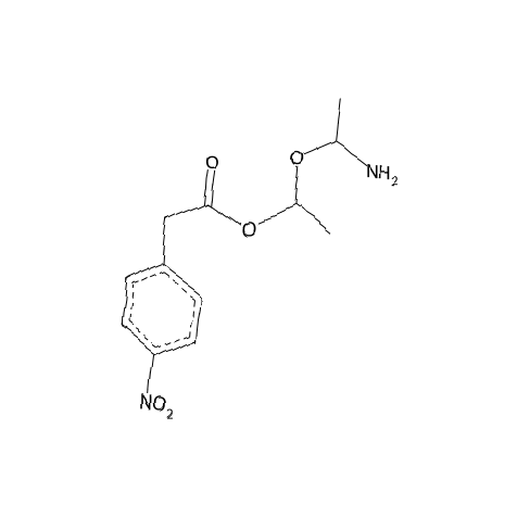 CC(N)OC(C)OC(=O)Cc1ccc([N+](=O)[O-])cc1